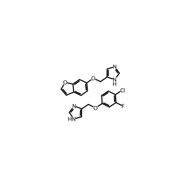 Fc1cc(OCc2c[nH]cn2)ccc1Cl.c1ncc(COc2ccc3ccoc3c2)[nH]1